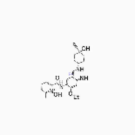 C#C[C@]1(O)CC[C@H](N/C=C2/C=C(NC(=O)c3cccc(C)[n+]3O)C(OCC)=CC2=N)CC1